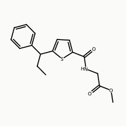 CCC(c1ccccc1)c1ccc(C(=O)NCC(=O)OC)s1